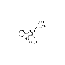 Cc1c(OCC(CO)CO)nn(-c2ccccc2)c1NC(=O)O